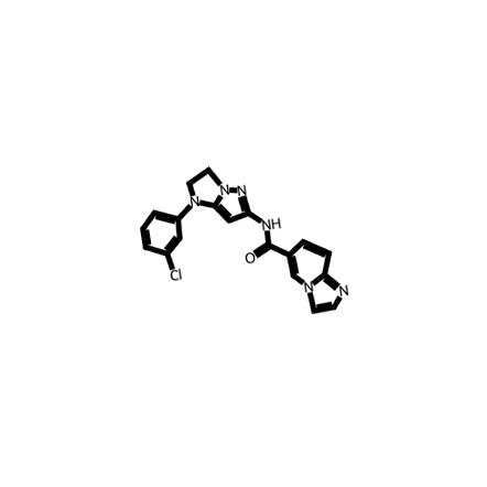 O=C(Nc1cc2n(n1)CCN2c1cccc(Cl)c1)c1ccc2nccn2c1